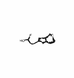 OC(F)[CH]c1cc2ccocc-2c1